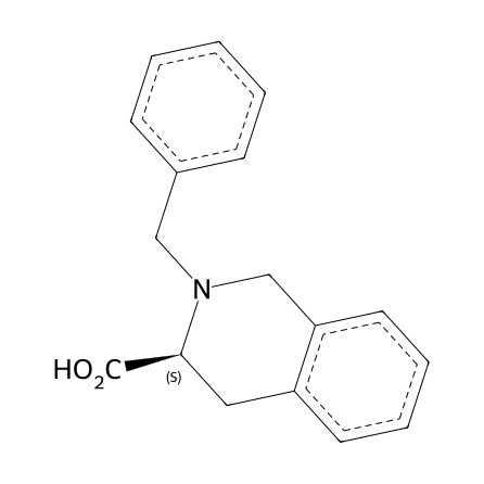 O=C(O)[C@@H]1Cc2ccccc2CN1Cc1ccccc1